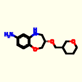 Nc1ccc2c(c1)NC[C@H](OCC1CCCOC1)CO2